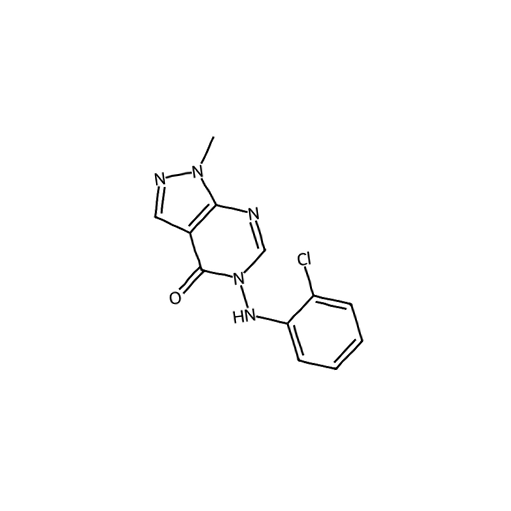 Cn1ncc2c(=O)n(Nc3ccccc3Cl)cnc21